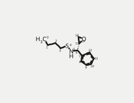 CCCCSNC(c1ccccc1)[C@@H]1CO1